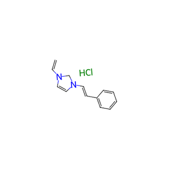 C=CN1C=CN(C=Cc2ccccc2)C1.Cl